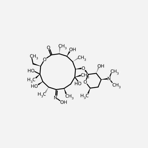 CC[C@H]1OC(=O)[C@H](C)[C@@H](O)[C@H](C)[C@@H](O[C@@H]2O[C@H](C)C[C@H](N(C)C)[C@H]2O)[C@](C)(O)C[C@@H](C)/C(=N\O)[C@H](C)[C@@H](O)[C@]1(C)O